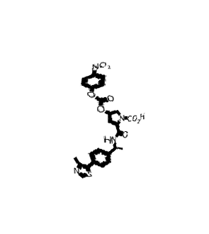 Cc1ncsc1-c1ccc([C@H](C)NC(=O)C2CC(OC(=O)Oc3ccc([N+](=O)[O-])cc3)CN2C(=O)O)cc1